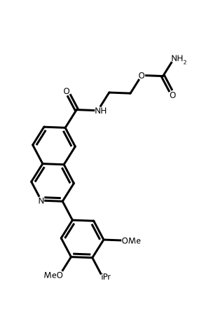 COc1cc(-c2cc3cc(C(=O)NCCOC(N)=O)ccc3cn2)cc(OC)c1C(C)C